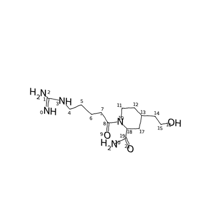 N=C(N)NCCC[CH]C(=O)N1CCC(CCO)CC1C(N)=O